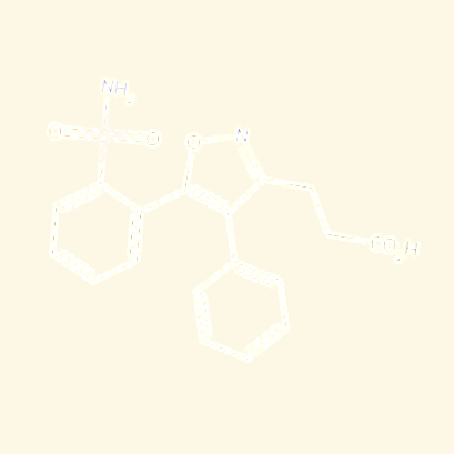 NS(=O)(=O)c1ccccc1-c1onc(CCC(=O)O)c1-c1ccccc1